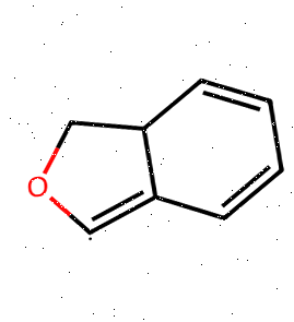 [C]1=C2C=CC=CC2CO1